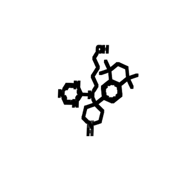 CC1(C)CCC(C)(C)c2cc(C3(N(CCCCO)c4ncncn4)CCNCC3)ccc21